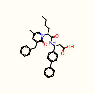 CCCC[C@@H](C(=O)N[C@@H](CC(=O)O)c1ccc(-c2ccccc2)cc1)n1cc(C)cc(Cc2ccccc2)c1=O